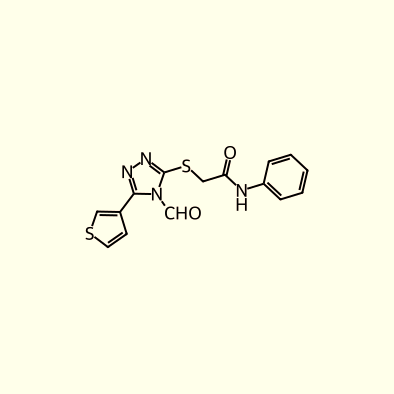 O=Cn1c(SCC(=O)Nc2ccccc2)nnc1-c1ccsc1